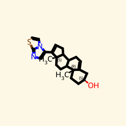 C[C@]12CC[C@H](O)CC1=CCC1C2CC[C@]2(C)C(c3cnc4sccn34)=CCC12